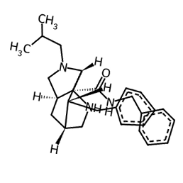 CC(C)CN1C[C@@H]2C[C@H]3CN[C@]2(C(=O)NCc2ccccc2)[C@@H]1[C@@H]3Cc1ccccc1